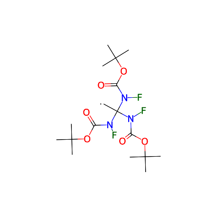 [CH2]C(N(F)C(=O)OC(C)(C)C)(N(F)C(=O)OC(C)(C)C)N(F)C(=O)OC(C)(C)C